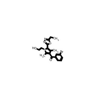 CCc1nnc(-c2c(C)c(C(=O)c3cccc(Br)c3)c(C)n2CCO)o1